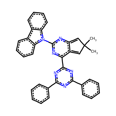 CC1(C)C=c2nc(-n3c4ccccc4c4ccccc43)nc(-c3nc(-c4ccccc4)nc(-c4ccccc4)n3)c2=C1